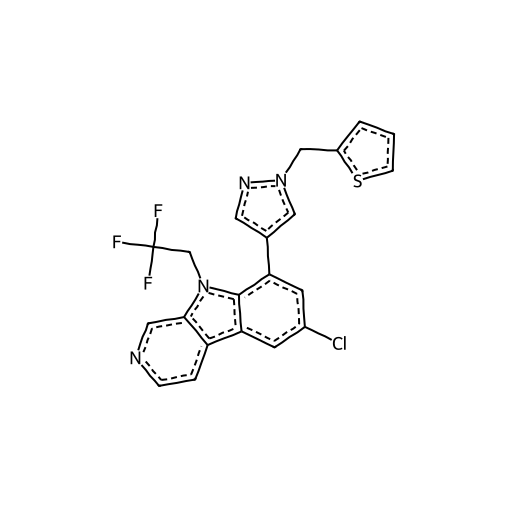 FC(F)(F)Cn1c2cnccc2c2cc(Cl)cc(-c3cnn(Cc4cccs4)c3)c21